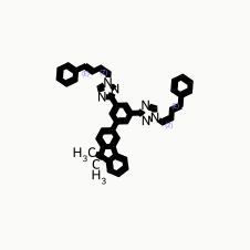 CC1(C)c2ccccc2-c2cc(-c3cc(-c4ncn(/C=C\C=C\c5ccccc5)n4)cc(-c4ncn(/C=C\C=C\c5ccccc5)n4)c3)ccc21